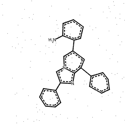 Nc1ccccc1-c1cc(-c2ccccc2)c2nc(-c3ccccc3)cn2c1